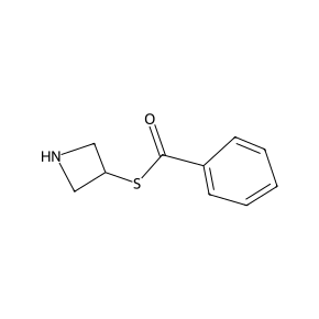 O=C(SC1CNC1)c1ccccc1